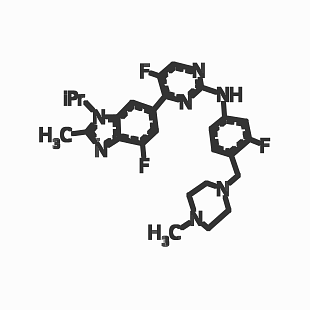 Cc1nc2c(F)cc(-c3nc(Nc4ccc(CN5CCN(C)CC5)c(F)c4)ncc3F)cc2n1C(C)C